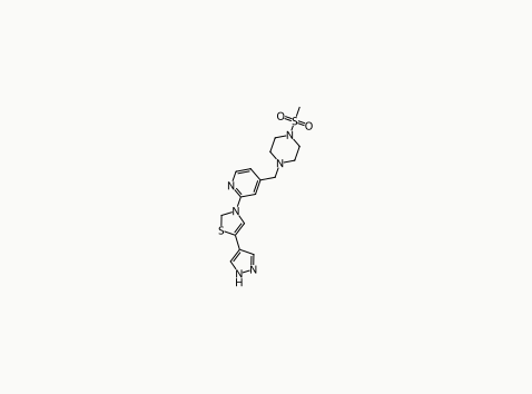 CS(=O)(=O)N1CCN(Cc2ccnc(N3C=C(c4cn[nH]c4)SC3)c2)CC1